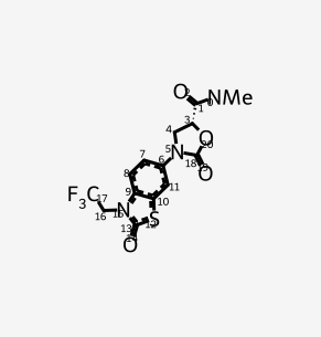 CNC(=O)[C@H]1CN(c2ccc3c(c2)sc(=O)n3CC(F)(F)F)C(=O)O1